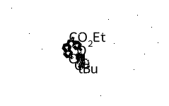 CCOC(=O)C(Cc1ccc2ccc(C#N)cc2c1)c1ccc(O[C@H]2CCN(C(=O)OC(C)(C)C)C2)cc1